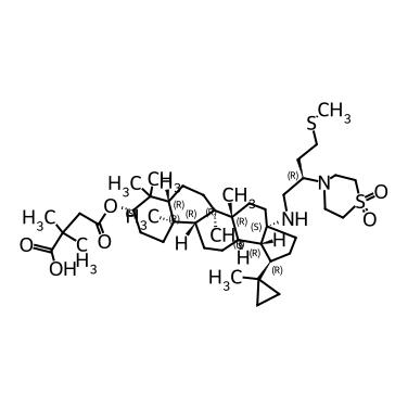 CSCC[C@H](CN[C@]12CC[C@@H](C3(C)CC3)[C@@H]1[C@H]1CC[C@@H]3[C@@]4(C)CC[C@H](OC(=O)CC(C)(C)C(=O)O)C(C)(C)[C@@H]4CC[C@@]3(C)[C@]1(C)CC2)N1CCS(=O)(=O)CC1